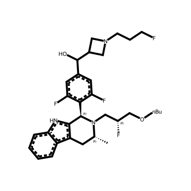 CCCCOC[C@H](F)CN1[C@H](c2c(F)cc(C(O)C3CN(CCCF)C3)cc2F)c2[nH]c3ccccc3c2C[C@H]1C